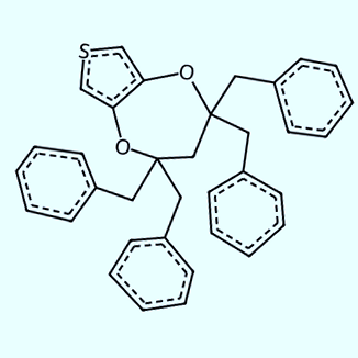 c1ccc(CC2(Cc3ccccc3)CC(Cc3ccccc3)(Cc3ccccc3)Oc3cscc3O2)cc1